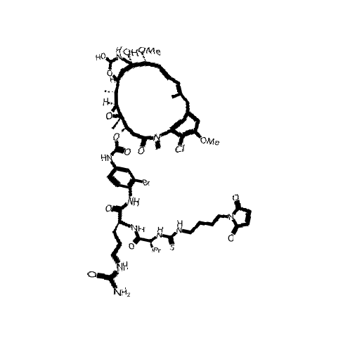 COc1cc2cc(c1Cl)N(C)C(=O)C[C@H](OC(=O)Nc1ccc(NC(=O)[C@H](CCCNC(N)=O)NC(=O)[C@@H](NC(=S)NCCCCN3C(=O)C=CC3=O)C(C)C)c(Br)c1)[C@]1(C)O[C@H]1[C@H](C)[C@@H]1C[C@@](O)(NC(O)O1)[C@H](OC)/C=C/C=C(\C)C2